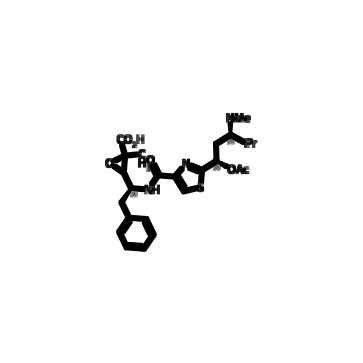 CN[C@H](C[C@@H](OC(C)=O)c1nc(C(=O)N[C@@H](Cc2ccccc2)C2OC2(C)C(=O)O)cs1)C(C)C